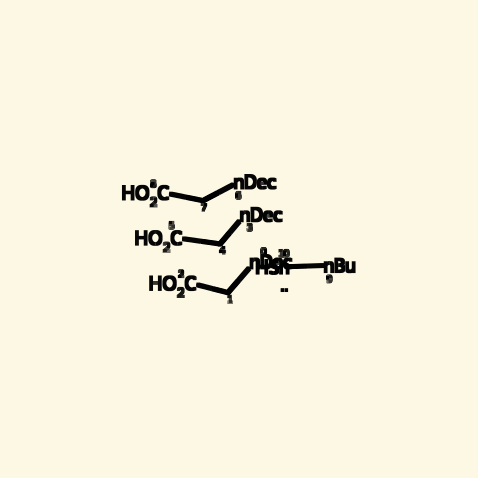 CCCCCCCCCCCC(=O)O.CCCCCCCCCCCC(=O)O.CCCCCCCCCCCC(=O)O.CCC[CH2][SnH]